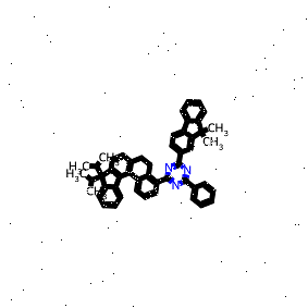 CC(C)C1(C(C)C)c2ccccc2-c2c1ccc1c2-c2cccc(-c3nc(-c4ccccc4)nc(-c4ccc5c(c4)C(C)(C)c4ccccc4-5)n3)c2CC1